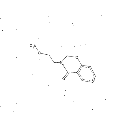 O=C1c2ccccc2OCN1CCO[N+](=O)[O-]